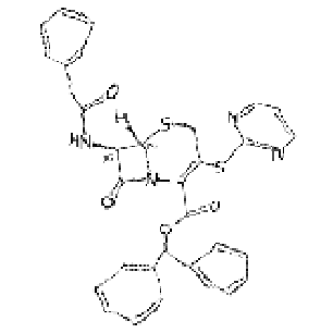 O=C(Cc1ccccc1)N[C@@H]1C(=O)N2C(C(=O)OC(c3ccccc3)c3ccccc3)=C(Sc3ncccn3)CS[C@@H]12